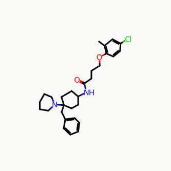 Cc1cc(Cl)ccc1OCCCC(=O)NC1CCC(Cc2ccccc2)(N2CCCCC2)CC1